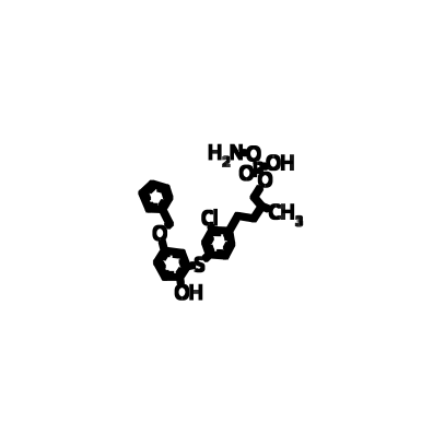 CC(CCc1ccc(Sc2cc(OCc3ccccc3)ccc2O)cc1Cl)COP(=O)(O)ON